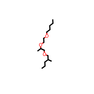 CCCCCOCCOC(C)COCC(C)CCC